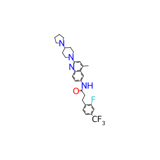 Cc1cc(N2CCC(N3CCCC3)CC2)nc2ccc(NC(=O)CCc3ccc(C(F)(F)F)cc3F)cc12